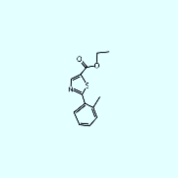 CCOC(=O)c1cnc(-c2ccccc2C)s1